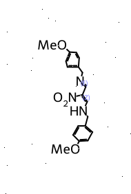 COc1ccc(C/N=C/C(=C/NCc2ccc(OC)cc2)[N+](=O)[O-])cc1